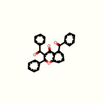 O=C(c1ccccc1)c1c(-c2ccccc2)oc2cccc(C(=O)c3ccccc3)c2c1=O